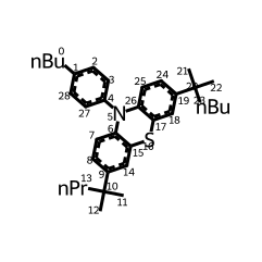 CCCCc1ccc(N2c3ccc(C(C)(C)CCC)cc3Sc3cc(C(C)(C)CCCC)ccc32)cc1